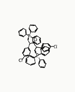 O=C(C(C=P(c1ccccc1)(c1ccccc1)c1ccccc1)c1ccc(Cl)cc1)C(C=P(c1ccccc1)(c1ccccc1)c1ccccc1)c1ccc(Cl)cc1